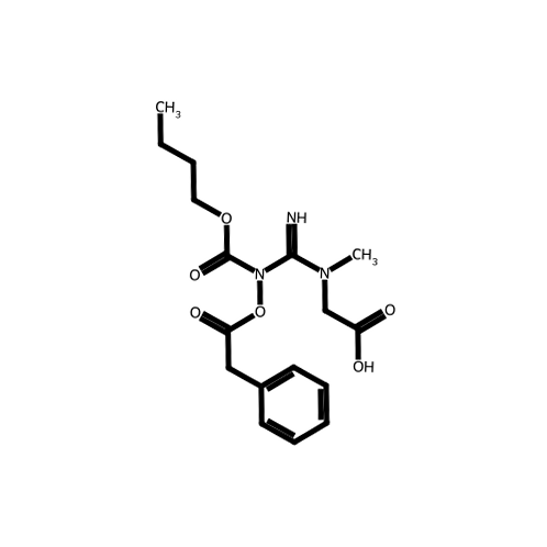 CCCCOC(=O)N(OC(=O)Cc1ccccc1)C(=N)N(C)CC(=O)O